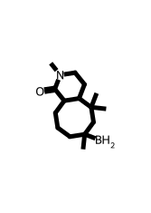 BC1(C)CCCC2C(=O)N(C)CCC2C(C)(C)C1